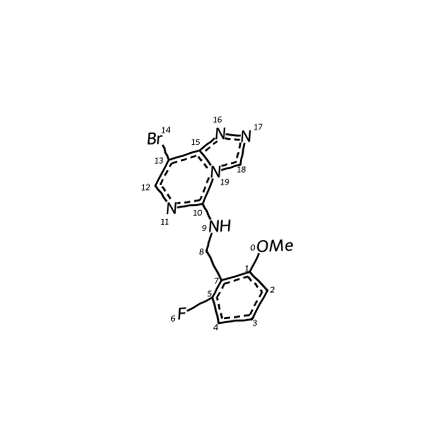 COc1cccc(F)c1CNc1ncc(Br)c2nncn12